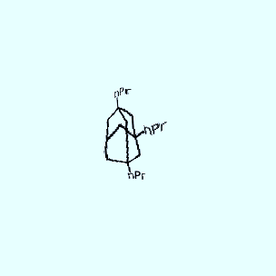 CCCC12CC3CC(CCC)(C1)CC(CCC)(C3)C2